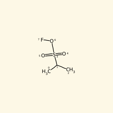 CC(C)S(=O)(=O)OF